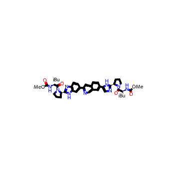 CC[C@@H](C)[C@H](NC(=O)OC)C(=O)N1CCC[C@H]1c1ncc(-c2ccc3cc(-c4ccc5nc([C@@H]6CCCN6C(=O)[C@@H](NC(=O)OC)[C@H](C)CC)[nH]c5c4)ncc3c2)[nH]1